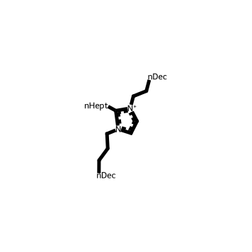 CCCCCCCCCCCCCn1cc[n+](CCCCCCCCCCCC)c1CCCCCCC